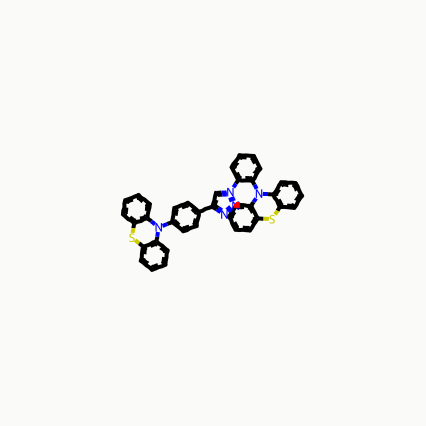 c1ccc2c(c1)Sc1ccccc1N2c1ccc(-c2cn(-c3ccccc3N3c4ccccc4Sc4ccccc43)nn2)cc1